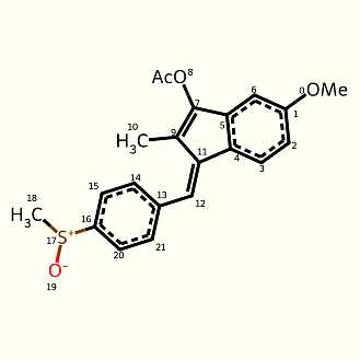 COc1ccc2c(c1)C(OC(C)=O)=C(C)C2=Cc1ccc([S+](C)[O-])cc1